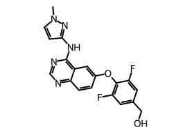 Cn1ccc(Nc2ncnc3ccc(Oc4c(F)cc(CO)cc4F)cc23)n1